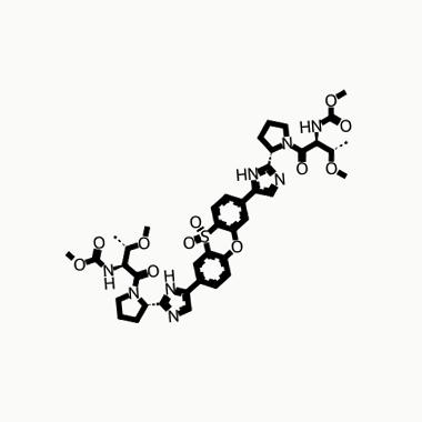 COC(=O)N[C@H](C(=O)N1CCC[C@H]1c1ncc(-c2ccc3c(c2)Oc2ccc(-c4cnc([C@@H]5CCCN5C(=O)[C@@H](NC(=O)OC)[C@H](C)OC)[nH]4)cc2S3(=O)=O)[nH]1)[C@H](C)OC